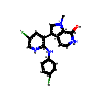 Cn1cc(-c2cc(F)cnc2Nc2ccc(F)cc2)c2cc[nH]c(=O)c21